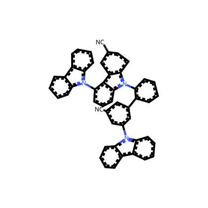 N#Cc1cc(-c2ccccc2-n2c3ccc(C#N)cc3c3c(-n4c5ccccc5c5ccccc54)cccc32)cc(-n2c3ccccc3c3ccccc32)c1